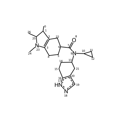 CC1C2=C(CCC(C(=O)N(C3CC3)C3CCc4[nH]ncc4C3)C2)N(C)C1C